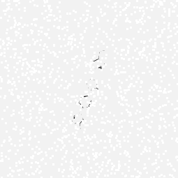 Cc1cn(-c2ccc(N3C[C@H](Cn4cc(CF)nn4)OC3=O)cc2F)cn1